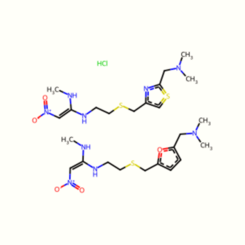 CN/C(=C/[N+](=O)[O-])NCCSCc1ccc(CN(C)C)o1.CN/C(=C\[N+](=O)[O-])NCCSCc1csc(CN(C)C)n1.Cl